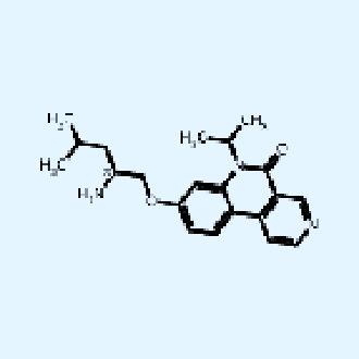 CC(C)C[C@H](N)COc1ccc2c3ccncc3c(=O)n(C(C)C)c2c1